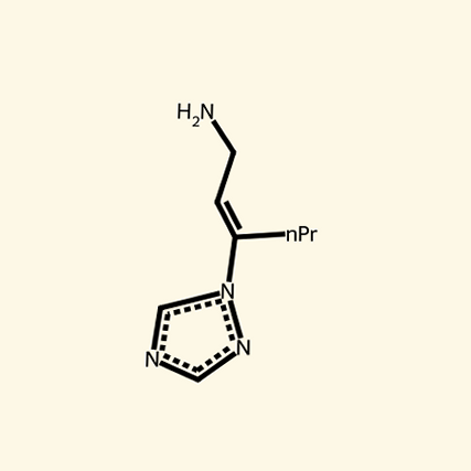 CCCC(=CCN)n1cncn1